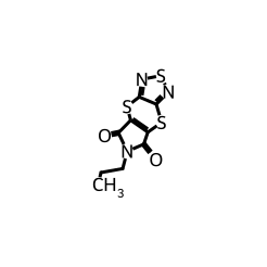 CCCn1c(=O)c2sc3nsnc3sc=2c1=O